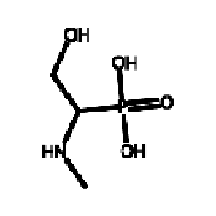 CNC(CO)P(=O)(O)O